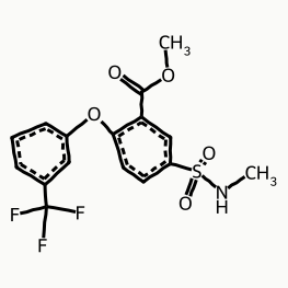 CNS(=O)(=O)c1ccc(Oc2cccc(C(F)(F)F)c2)c(C(=O)OC)c1